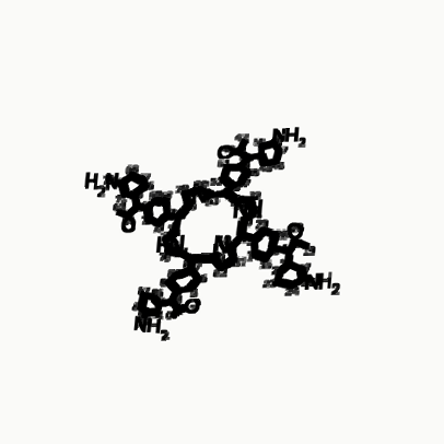 CC(=O)C(c1ccc(-c2c3nc(c(-c4ccc(C(C(C)=O)c5cccc(N)c5)cc4)c4ccc([nH]4)c(-c4ccc(C(C(C)=O)c5cccc(N)c5)cc4)c4nc(c(-c5ccc(C(C(C)=O)c6cccc(N)c6)cc5)c5ccc2[nH]5)C=C4)C=C3)cc1)c1cccc(N)c1